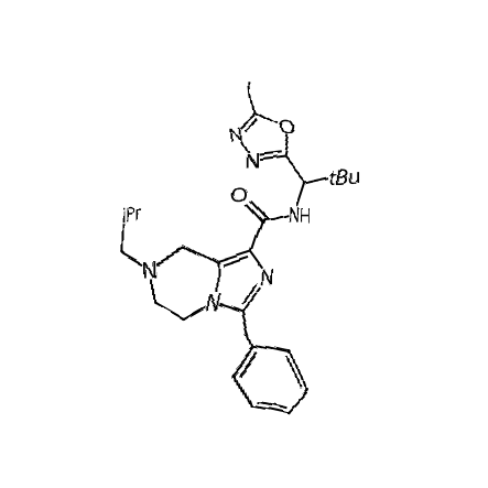 Cc1nnc(C(NC(=O)c2nc(-c3ccccc3)n3c2CN(CC(C)C)CC3)C(C)(C)C)o1